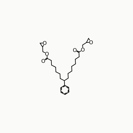 O=C(CCCCCCCC(CCCCCCC(=O)OCC1CO1)c1ccccc1)OCC1CO1